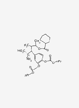 CCCOC(=O)Oc1ccc(C(C(C)C(C)OC(=O)C2CCCCC2)[C@H](N)C(=O)O)cc1OC(=O)OCCC